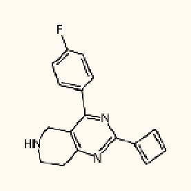 Fc1ccc(-c2nc(C3=CC=C3)nc3c2CNCC3)cc1